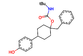 CC(C)(C)NC(=O)OC1(Cc2ccccc2)CCC(c2ccc(O)cc2)CC1